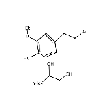 CCCCCCC(O)CO.CCOc1cc(CCC(C)=O)ccc1O